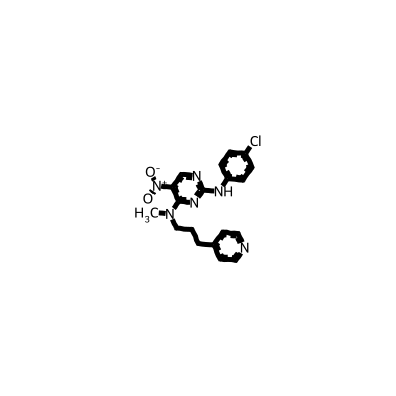 CN(CCCc1ccncc1)c1nc(Nc2ccc(Cl)cc2)ncc1[N+](=O)[O-]